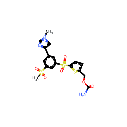 Cn1cnc(-c2cc(S(C)(=O)=O)cc(S(=O)(=O)c3ccc(COC(N)=O)s3)c2)c1